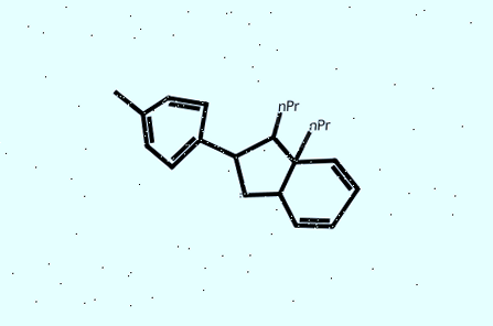 CCCC1C(c2ccc(C)cc2)[C]C2C=CC=CC21CCC